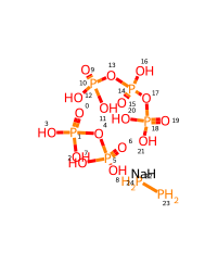 O=P(O)(O)OP(=O)(O)O.O=P(O)(O)OP(=O)(O)OP(=O)(O)O.PP.[NaH]